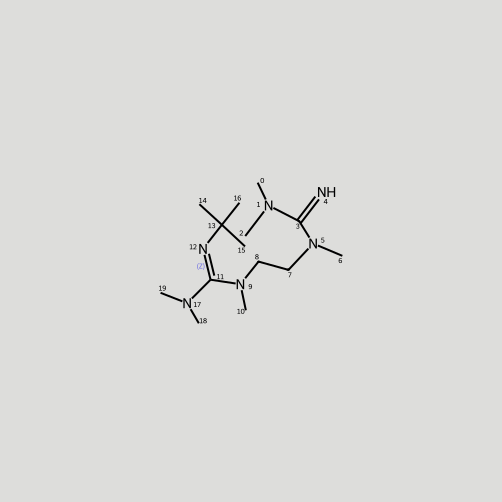 CN(C)C(=N)N(C)CCN(C)/C(=N\C(C)(C)C)N(C)C